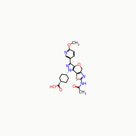 COc1ccc(-c2nn([C@H]3CC[C@H](C(=O)O)CC3)c3c2OCc2nc(NC(C)=O)sc2-3)cn1